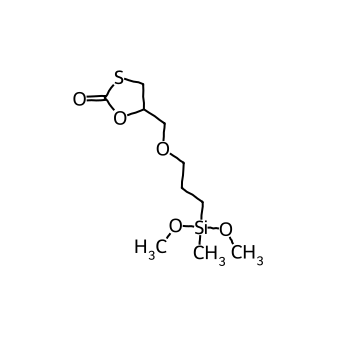 CO[Si](C)(CCCOCC1CSC(=O)O1)OC